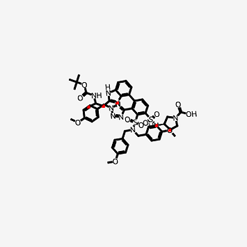 COc1ccc(CN(Cc2ccc(OC)cc2)S(=O)(=O)c2c(S(=O)(=O)N[C@@H]3CCN(C(=O)O)C3)ccc(-c3cccc4[nH]c(CC(C)NC(=O)OC(C)(C)C)nc34)c2-c2nnn(Cc3ccc(OC)cc3)n2)cc1